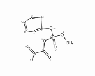 C=C(C)C(=O)OP(=O)(ON)Oc1ccccc1